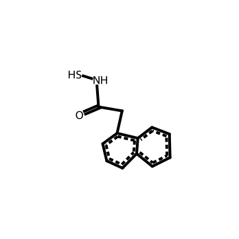 O=C(Cc1cccc2ccccc12)NS